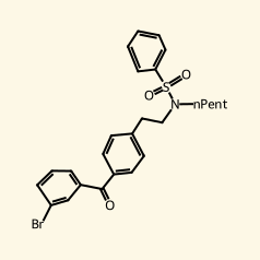 CCCCCN(CCc1ccc(C(=O)c2cccc(Br)c2)cc1)S(=O)(=O)c1ccccc1